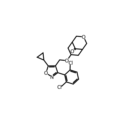 O=C1C2COCC1CC(OCc1c(-c3c(Cl)cccc3Cl)noc1C1CC1)C2